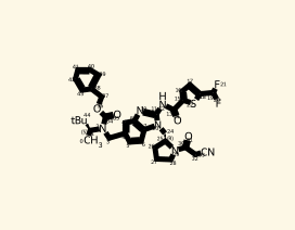 C[C@H](N(Cc1ccc2c(c1)nc(NC(=O)c1ccc(C(F)F)s1)n2C[C@H]1CCCN1C(=O)CC#N)C(=O)OCc1ccccc1)C(C)(C)C